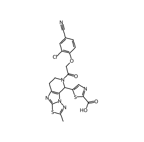 Cc1nn2c3c(nc2s1)CCN(C(=O)COc1ccc(C#N)cc1Cl)C3c1cnc(C(=O)O)s1